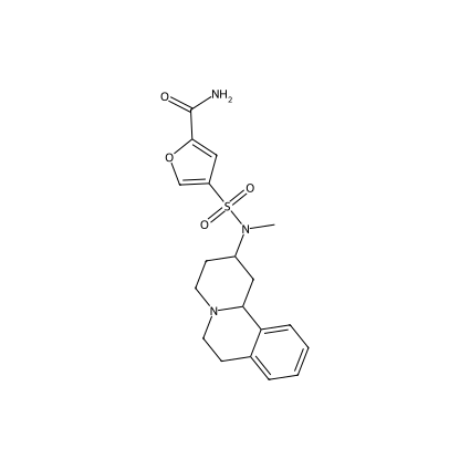 CN(C1CCN2CCc3ccccc3C2C1)S(=O)(=O)c1coc(C(N)=O)c1